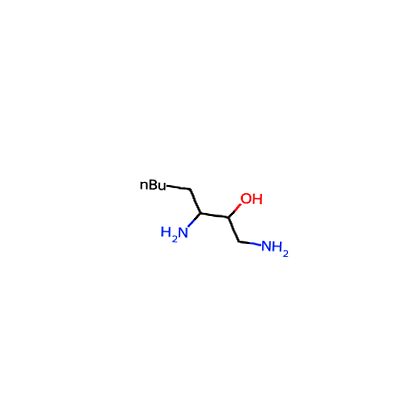 CCCCCC(N)C(O)CN